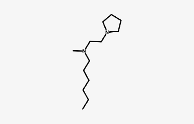 CCCCCCN(C)CCN1CCCC1